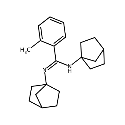 Cc1ccccc1C(=NC12CCC(CC1)C2)NC12CCC(CC1)C2